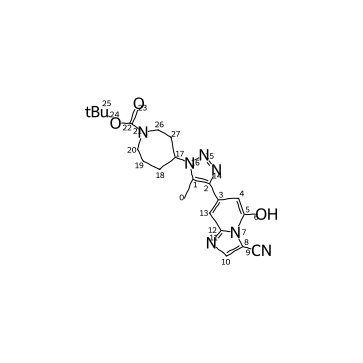 Cc1c(-c2cc(O)n3c(C#N)cnc3c2)nnn1C1CCCN(C(=O)OC(C)(C)C)CC1